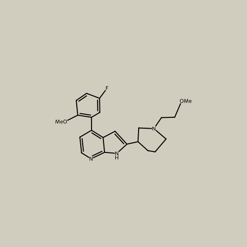 COCCN1CCCC(c2cc3c(-c4cc(F)ccc4OC)ccnc3[nH]2)C1